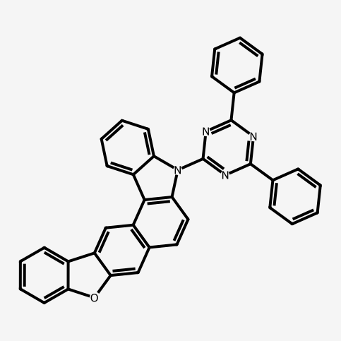 c1ccc(-c2nc(-c3ccccc3)nc(-n3c4ccccc4c4c5cc6c(cc5ccc43)oc3ccccc36)n2)cc1